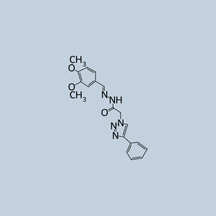 COc1ccc(C=NNC(=O)Cn2cc(-c3ccccc3)nn2)cc1OC